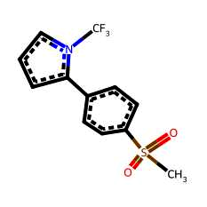 CS(=O)(=O)c1ccc(-c2cccn2C(F)(F)F)cc1